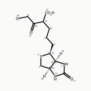 O=C1N[C@H]2[C@H](CS[C@H]2CCCC(C(=O)O)C(=O)CCl)N1